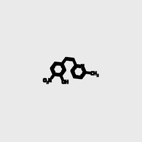 Cc1cccc(/C=C\c2ccc([N+](=O)[O-])c(O)c2)n1